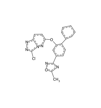 Cc1nc(-c2ccc(-c3ccccc3)c(Oc3ccc4nnc(Cl)n4n3)c2)no1